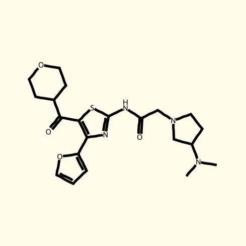 CN(C)C1CCN(CC(=O)Nc2nc(-c3ccco3)c(C(=O)C3CCOCC3)s2)C1